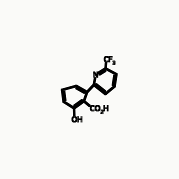 O=C(O)c1c(O)cccc1-c1cccc(C(F)(F)F)n1